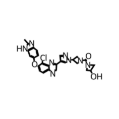 Cc1nc2ccc(Oc3ccc4ncc(-c5cnn(C6CN(C(=O)N7CC(O)C7)C6)c5)nc4c3Cl)cc2[nH]1